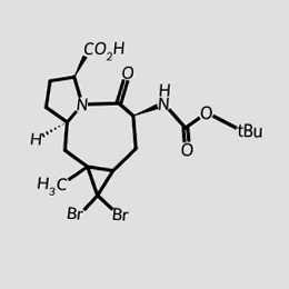 CC(C)(C)OC(=O)N[C@H]1CC2C(Br)(Br)C2(C)C[C@H]2CC[C@@H](C(=O)O)N2C1=O